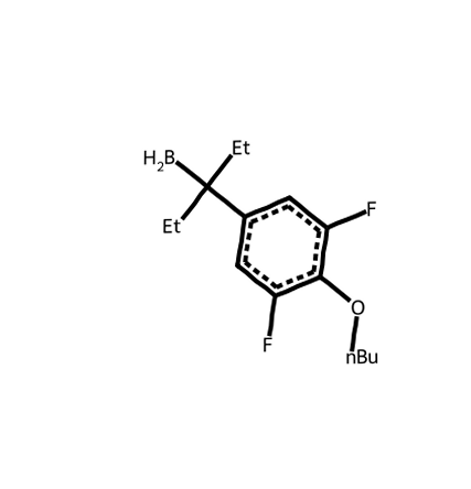 BC(CC)(CC)c1cc(F)c(OCCCC)c(F)c1